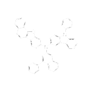 c1ccc(-c2cc(N(c3ccc4c(c3)oc3c5ccccc5ccc43)c3ccc4c(c3)c3ccccc3n4-c3ccccc3)cc3ccccc23)cc1